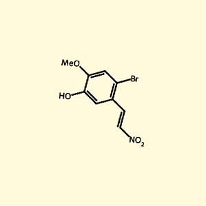 COc1cc(Br)c(C=C[N+](=O)[O-])cc1O